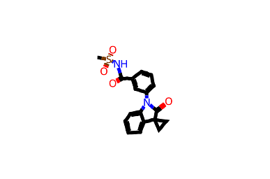 CS(=O)(=O)NC(=O)c1cccc(N2C(=O)C3(CC3)c3ccccc32)c1